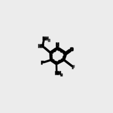 NNc1[nH]c(=O)c(F)c(N)c1F